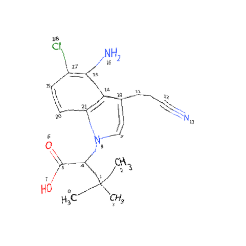 CC(C)(C)C(C(=O)O)n1cc(CC#N)c2c(N)c(Cl)ccc21